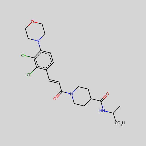 CC(NC(=O)C1CCN(C(=O)/C=C/c2ccc(N3CCOCC3)c(Cl)c2Cl)CC1)C(=O)O